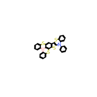 c1ccc(N2c3ccccc3Sc3c2sc2c4c5c(cc32)Sc2ccccc2B5c2ccccc2S4)cc1